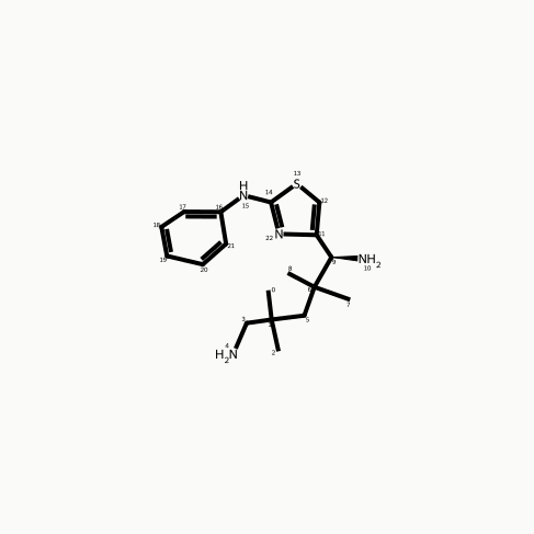 CC(C)(CN)CC(C)(C)[C@H](N)c1csc(Nc2ccccc2)n1